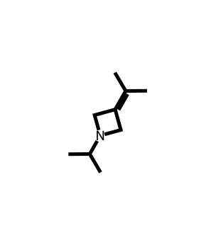 CC(C)=C1CN(C(C)C)C1